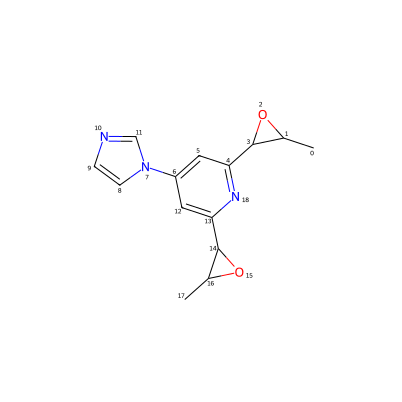 CC1OC1c1cc(-n2ccnc2)cc(C2OC2C)n1